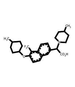 CC1CCC(Oc2ccc3cc(C(C(=O)O)N4CCC(C)CC4)ccc3c2C(F)(F)F)CC1